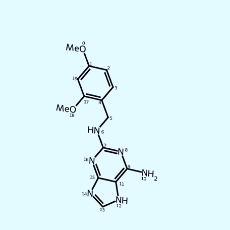 COc1ccc(CNc2nc(N)c3[nH]cnc3n2)c(OC)c1